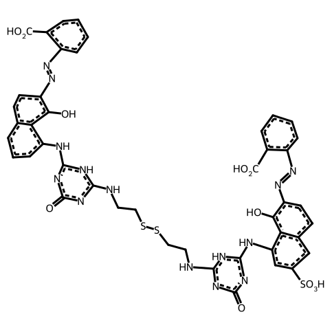 O=C(O)c1ccccc1/N=N/c1ccc2cccc(Nc3nc(=O)nc(NCCSSCCNc4nc(=O)nc(Nc5cc(S(=O)(=O)O)cc6ccc(/N=N/c7ccccc7C(=O)O)c(O)c56)[nH]4)[nH]3)c2c1O